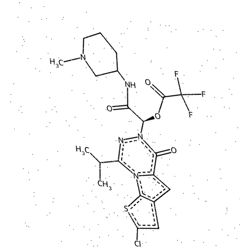 CC(C)c1nn([C@H](OC(=O)C(F)(F)F)C(=O)NC2CCCN(C)C2)c(=O)c2cc3cc(Cl)sc3n12